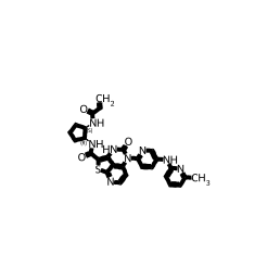 C=CC(=O)N[C@H]1CCC[C@H]1NC(=O)c1sc2nccc3c2c1NC(=O)N3c1ccc(Nc2cccc(C)n2)cn1